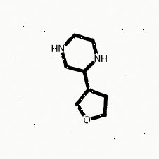 C1CNC(C2CCOC2)CN1